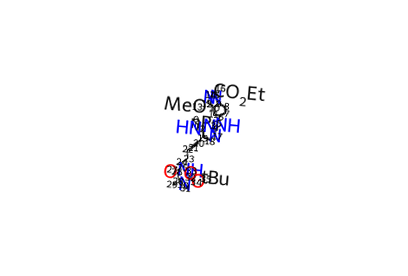 CCCNc1nc(Nc2ccc3c(c2)c(OC)nn3C(=O)OCC)ncc1C#CCCCNC(=O)[C@H](C)N(C)C(=O)OC(C)(C)C